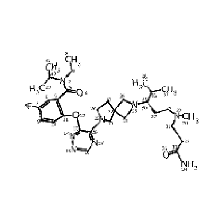 CCN(C(=O)c1cc(F)ccc1Oc1nncnc1N1CCC2(C1)CN([C@H](CCN(C)CCC(N)=O)C(C)C)C2)C(C)C